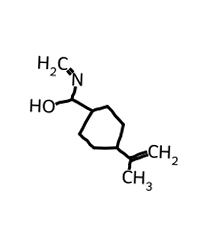 C=NC(O)C1CCC(C(=C)C)CC1